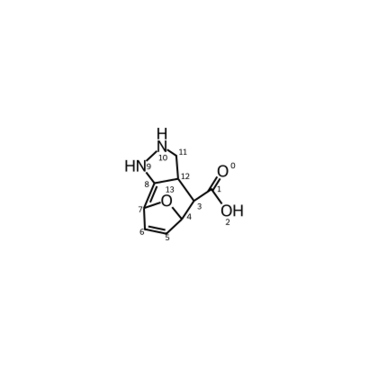 O=C(O)C1C2C=CC(=C3NNCC31)O2